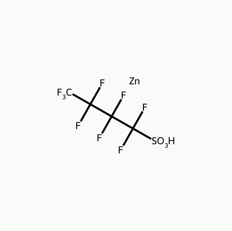 O=S(=O)(O)C(F)(F)C(F)(F)C(F)(F)C(F)(F)F.[Zn]